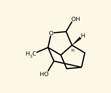 CC12OC(O)[C@@H]3CC(CC31)C2O